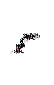 [2H]Oc1ccc(C(c2ccc(O)c(N)c2)(C(F)(F)F)C(F)(F)F)cc1NC(=O)c1ccc(Oc2ccc(C(=O)Nc3cc(C(c4ccc(O)c(NC)c4)(C(F)(F)F)C(F)(F)F)ccc3O[2H])cc2)cc1